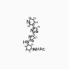 CC(=O)Nc1cccc(Nc2nc(-c3nc(-c4cccnc4)cs3)cs2)c1